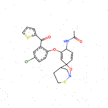 CC(=O)NC1C=CC2(C=C1Oc1ccc(Cl)cc1C(=O)c1cccs1)ON1CC2CCS1